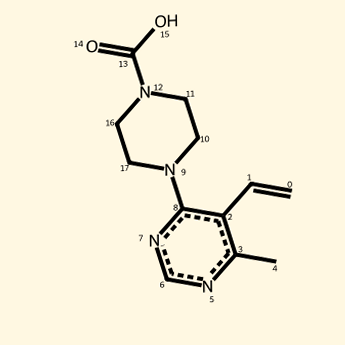 C=Cc1c(C)ncnc1N1CCN(C(=O)O)CC1